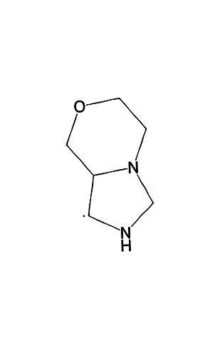 [CH]1NCN2CCOCC12